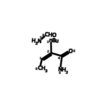 CC=C(CCCC)C(N)=O.NC=O